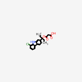 CCC(CC)(OC(=O)CC(=O)O)c1ccc2c(c1)[nH]c1c(Cl)cccc12